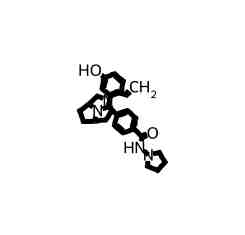 C=CCN1CCC2CCC(C1)N2C(c1ccc(C(=O)NN2CCCC2)cc1)c1cccc(O)c1